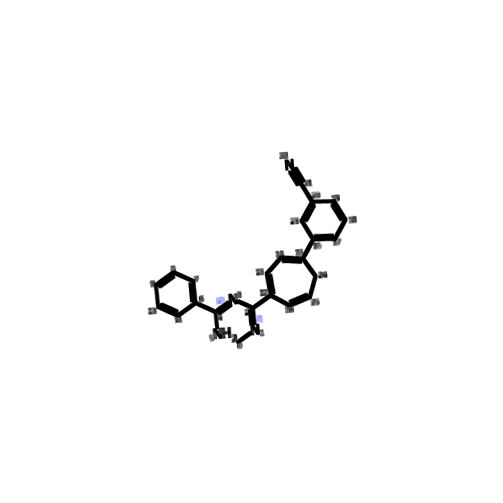 C/N=C(\N=C(/N)c1ccccc1)C1=CC=C(c2cccc(C#N)c2)CC=C1